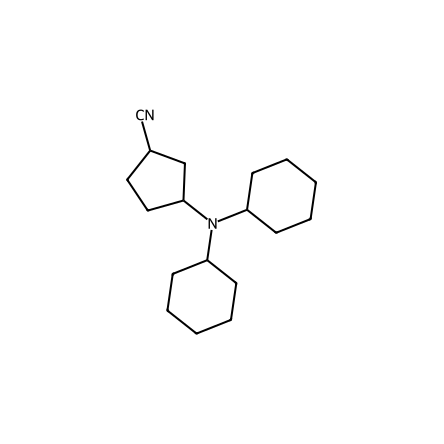 N#CC1CCC(N(C2CCCCC2)C2CCCCC2)C1